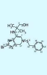 CC(C)(CO)NC1=CN(SCc2ccccc2)Cc2sc(Br)nc21